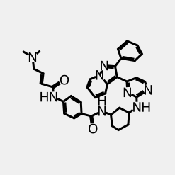 CN(C)CC=CC(=O)Nc1ccc(C(=O)NC2CCCC(Nc3nccc(-c4c(-c5ccccc5)nn5ccccc45)n3)C2)cc1